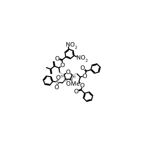 C=C(C)C(=C)C(C[C@@H]1O[C@H](CC(COC(=O)c2ccccc2)OC(=O)c2ccccc2)[C@H](OC)[C@H]1CS(=O)(=O)c1ccccc1)OC(=O)c1cc([N+](=O)[O-])cc([N+](=O)[O-])c1